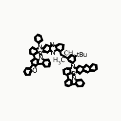 CC(C)(C)c1cc(N2c3cc4cc5ccccc5cc4cc3B3c4c(cccc42)-c2cccc4c5ccccc5n3c24)cc(C(C)(C)Cc2cccc3nc4cc5c(cc4nc23)B2c3c(cccc3N5c3ccccc3)-c3cc4c5ccccc5oc4c4c5ccccc5n2c34)c1